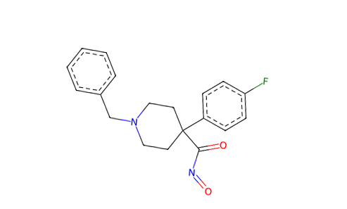 O=NC(=O)C1(c2ccc(F)cc2)CCN(Cc2ccccc2)CC1